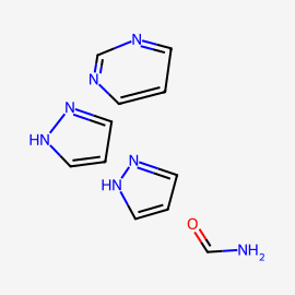 NC=O.c1cn[nH]c1.c1cn[nH]c1.c1cncnc1